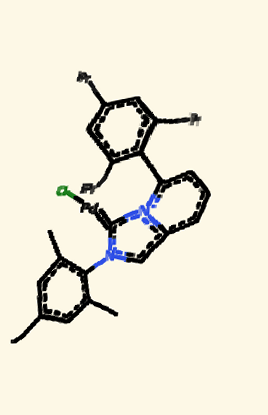 Cc1cc(C)c(-n2cc3cccc(-c4c(C(C)C)cc(C(C)C)cc4C(C)C)n3[c]2=[Pd][Cl])c(C)c1